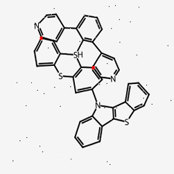 c1ccc2c(c1)Sc1cc(-n3c4ccccc4c4sc5ccccc5c43)ccc1[SH]2c1c(-c2ccncc2)cccc1-c1ccncc1